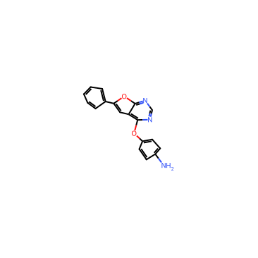 Nc1ccc(Oc2ncnc3oc(-c4ccccc4)cc23)cc1